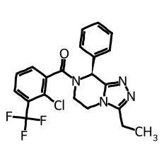 CCc1nnc2n1CCN(C(=O)c1cccc(C(F)(F)F)c1Cl)[C@H]2c1ccccc1